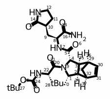 C[C@H]1[C@H]2[C@@H]([C@@H](C(=O)N[C@@H](C[C@@H]3CCNC3=O)C(N)=O)N1C(=O)[C@@H](NC(=O)OC(C)(C)C)C(C)(C)C)[C@H]1C=C[C@@H]2C1